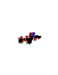 CCCC(=O)N[C@H]1Cc2ccc(F)c(C(=O)OCOC(=O)C(C)(C)C)c2OB1O